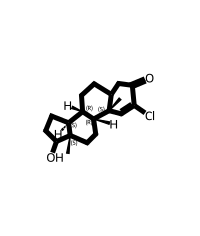 C[C@]12C=C(Cl)C(=O)CC1CC[C@@H]1[C@H]2CC[C@]2(C)C(O)CC[C@@H]12